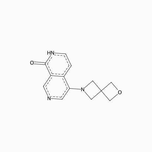 O=c1[nH]ccc2c(N3CC4(COC4)C3)cncc12